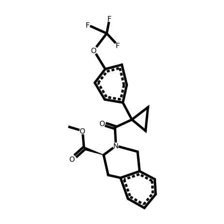 COC(=O)[C@@H]1Cc2ccccc2CN1C(=O)C1(c2ccc(OC(F)(F)F)cc2)CC1